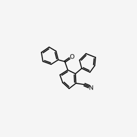 N#Cc1cccc(C(=O)c2ccccc2)c1-c1ccccc1